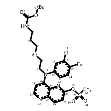 CC(C)(C)OC(=O)NCCCOCCN(c1ccc(F)c(Cl)c1)c1ccnc2ccc(OS(=O)(=O)C(F)(F)F)nc12